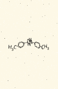 Cc1ccc(-c2cnn(-c3ccc(C)cc3)n2)cc1